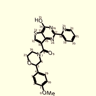 COc1ccc(C2CN(C(=O)c3csc4c(O)nc(-c5ccccn5)nc34)CCO2)cc1